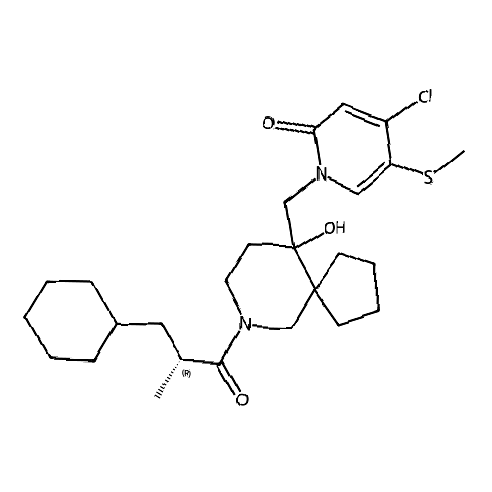 CSc1cn(CC2(O)CCN(C(=O)[C@H](C)CC3CCCCC3)CC23CCCC3)c(=O)cc1Cl